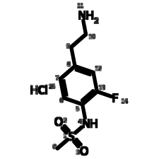 CS(=O)(=O)Nc1ccc(CCN)cc1F.Cl